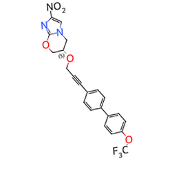 O=[N+]([O-])c1cn2c(n1)OC[C@@H](OCC#Cc1ccc(-c3ccc(OC(F)(F)F)cc3)cc1)C2